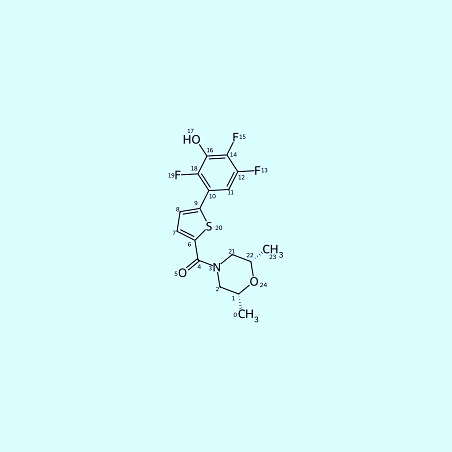 C[C@@H]1CN(C(=O)c2ccc(-c3cc(F)c(F)c(O)c3F)s2)C[C@H](C)O1